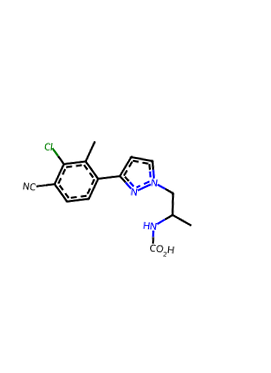 Cc1c(-c2ccn(CC(C)NC(=O)O)n2)ccc(C#N)c1Cl